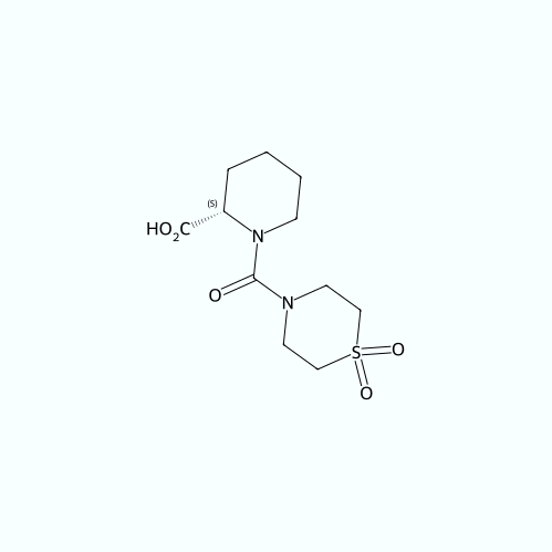 O=C(O)[C@@H]1CCCCN1C(=O)N1CCS(=O)(=O)CC1